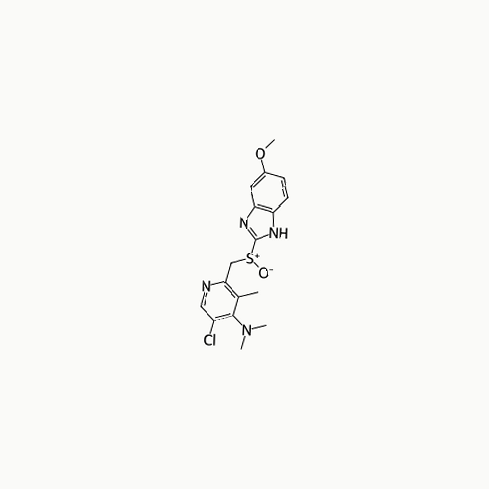 COc1ccc2[nH]c([S+]([O-])Cc3ncc(Cl)c(N(C)C)c3C)nc2c1